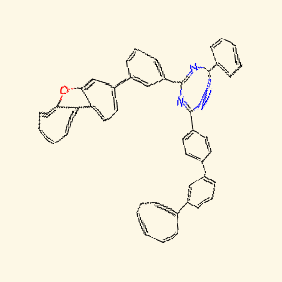 c1ccc(-c2cccc(-c3ccc(-c4nc(-c5ccccc5)nc(-c5cccc(-c6ccc7c(c6)oc6ccccc67)c5)n4)cc3)c2)cc1